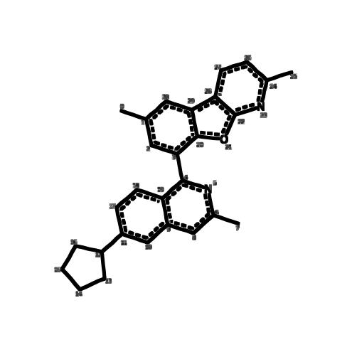 Cc1cc(-c2nc(C)cc3cc(C4CCCC4)ccc23)c2oc3nc(C)ccc3c2c1